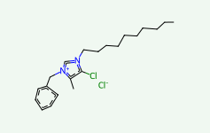 CCCCCCCCCCn1c[n+](Cc2ccccc2)c(C)c1Cl.[Cl-]